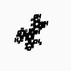 C[C@@H]1COCCN1c1nc(N2CCOC[C@H]2C)c2nc(-c3cc(CO)cc4[nH]ccc34)[nH]c2n1